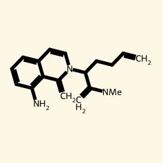 C=CCCC(C(=C)NC)N1C=Cc2cccc(N)c2C1=C